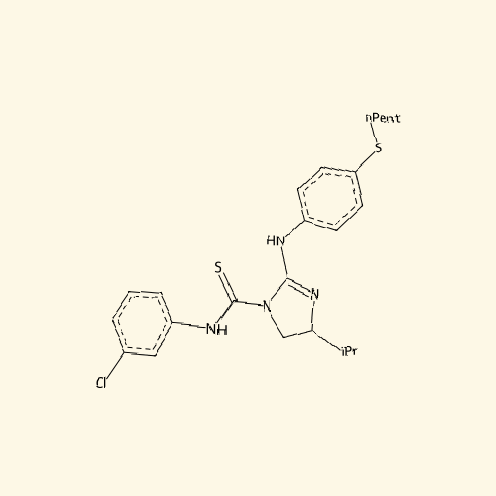 CCCCCSc1ccc(NC2=NC(C(C)C)CN2C(=S)Nc2cccc(Cl)c2)cc1